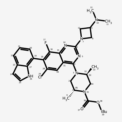 C[C@@H]1CN(c2nc(N3CC(N(C)C)C3)nc3c(F)c(-c4cccc5cc[nH]c45)c(Cl)cc23)[C@@H](C)CN1C(=O)OC(C)(C)C